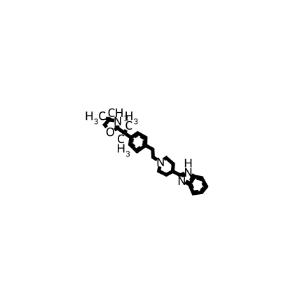 CC1(C)COC(C(C)(C)c2ccc(CCN3CCC(c4nc5ccccc5[nH]4)CC3)cc2)=N1